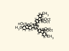 CCCCCCCCC1(CCCCCCCC)c2cc(C)ccc2-c2ccc(-c3nc(-c4ccc5c(c4)C(CCCCCCCC)(CCCCCCCC)c4cc(C)ccc4-5)nc(-c4ccc5c(c4)C(CCCCCCCC)(CCCCCCCC)c4cc(C)ccc4-5)n3)cc21